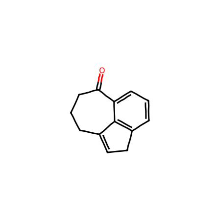 O=C1CCCC2=CCc3cccc1c32